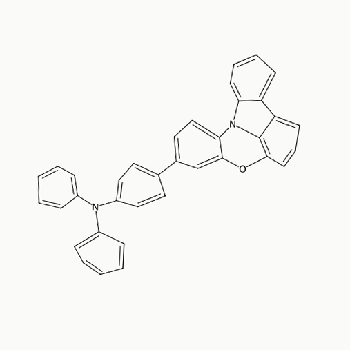 c1ccc(N(c2ccccc2)c2ccc(-c3ccc4c(c3)Oc3cccc5c6ccccc6n-4c35)cc2)cc1